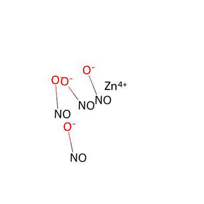 O=N[O-].O=N[O-].O=N[O-].O=N[O-].[Zn+4]